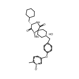 CCCCN1C(=O)[C@H](CC2CCCCC2)NC(=O)C12CCN(Cc1ccc(Oc3ccc(C)[n+]([O-])c3)cc1)CC2.Cl